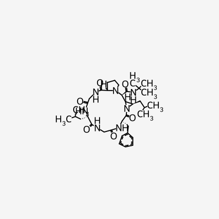 CC(C)C[C@@H]1NC(=O)CNC(=O)[C@@H]2CCCN2[C@@H](C(=O)NC(C)(C)C)[C@@H]2[C@@H](CC(C)C)N2C(=O)[C@H](Cc2ccccc2)NC(=O)CNC1=O